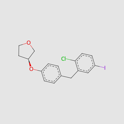 Clc1ccc(I)cc1Cc1ccc(O[C@H]2CCOC2)cc1